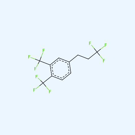 FC(F)(F)CCc1ccc(C(F)(F)F)c(C(F)(F)F)c1